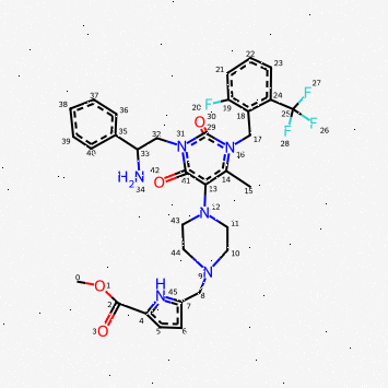 COC(=O)c1ccc(CN2CCN(c3c(C)n(Cc4c(F)cccc4C(F)(F)F)c(=O)n(CC(N)c4ccccc4)c3=O)CC2)[nH]1